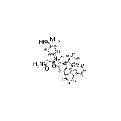 C[C@@H](c1cccc(C(c2ccccc2)(c2ccccc2)c2ccccc2)c1)N(C(=O)CC(N)=O)c1ccc(C(=N)N)cc1